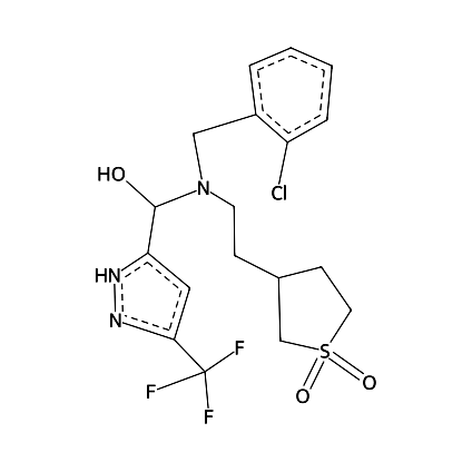 O=S1(=O)CCC(CCN(Cc2ccccc2Cl)C(O)c2cc(C(F)(F)F)n[nH]2)C1